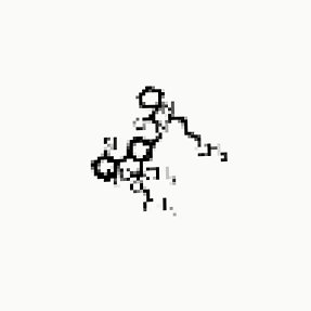 CCCCC1=NC2(CCCC2)C(=O)N1Cc1ccc(-c2ccccc2S)c(C(C)(C)OCC)c1